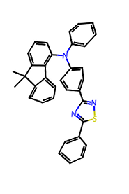 CC1(C)c2ccccc2-c2c(N(c3ccccc3)c3ccc(-c4nsc(-c5ccccc5)n4)cc3)cccc21